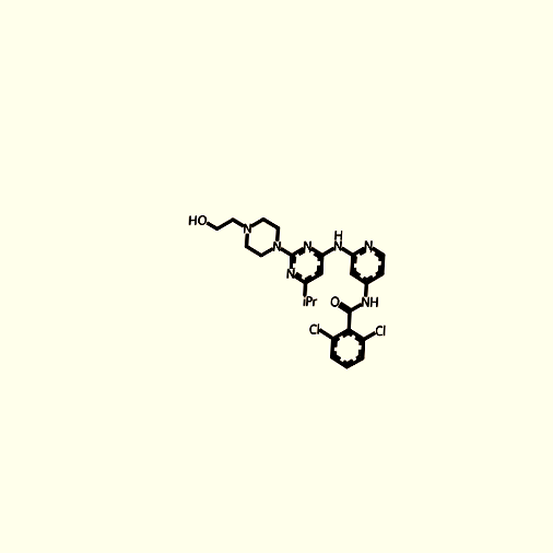 CC(C)c1cc(Nc2cc(NC(=O)c3c(Cl)cccc3Cl)ccn2)nc(N2CCN(CCO)CC2)n1